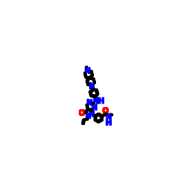 C=CCn1c(=O)c2cnc(Nc3ccc(N4CCC5(CCN(C)CC5)CC4)cc3)nc2n1-c1cccc(C(=O)NC)c1